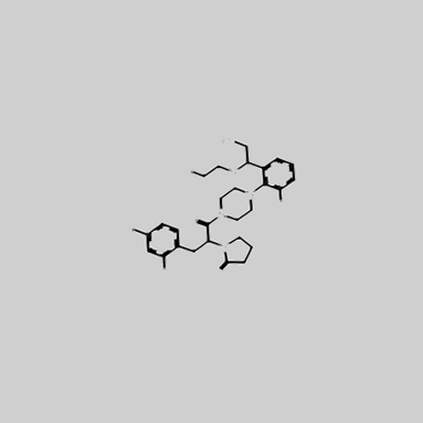 CC(C)CC(NCCN)c1cccc(F)c1N1CCN(C(=O)C(Cc2ccc(Cl)cc2Cl)N2CCCC2=O)CC1